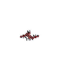 Cc1cc(-n2c3ccc(-c4ccc(-c5ccccc5)cn4)cc3c3cc4c5c(c32)CCc2cc3c([nH]c6ccc(-c7ccc(-c8ccccc8)cn7)cc63)c(c2-5)CC4)ccn1